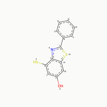 Oc1cc(S)c2nc(-c3ccccc3)sc2c1